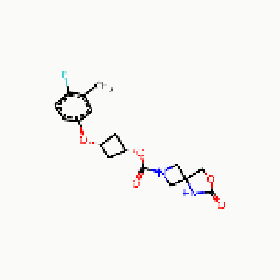 Cc1cc(O[C@H]2C[C@@H](OC(=O)N3CC4(COC(=O)N4)C3)C2)ccc1F